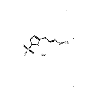 CON=CCC1=CCC(S(=O)(=O)[O-])S1.[Na+]